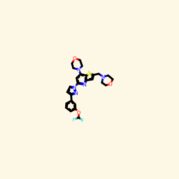 FC(F)Oc1cccc(-c2ccn(-c3cc(N4CCOCC4)c4sc(CN5CCOCC5)cc4n3)n2)c1